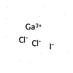 [Cl-].[Cl-].[Ga+3].[I-]